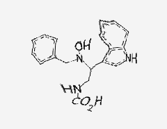 O=C(O)NCC(c1c[nH]c2ccccc12)N(O)Cc1ccccc1